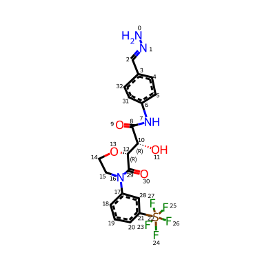 NN=Cc1ccc(NC(=O)[C@H](O)[C@H]2OCCN(c3cccc(S(F)(F)(F)(F)F)c3)C2=O)cc1